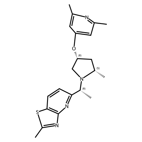 Cc1cc(O[C@@H]2C[C@H](C)N([C@H](C)c3ccc4sc(C)nc4n3)C2)cc(C)n1